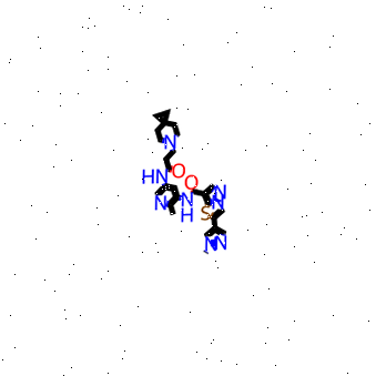 Cc1ncc(NC(=O)CCN2CCC3(CC2)CC3)cc1NC(=O)c1cnn2cc(-c3cnn(C)c3)sc12